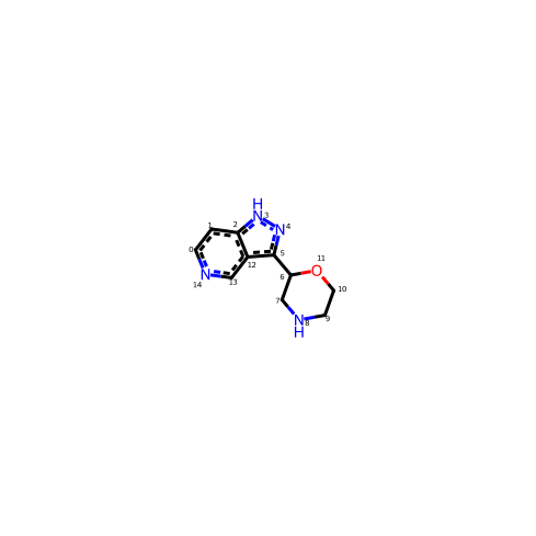 c1cc2[nH]nc(C3CNCCO3)c2cn1